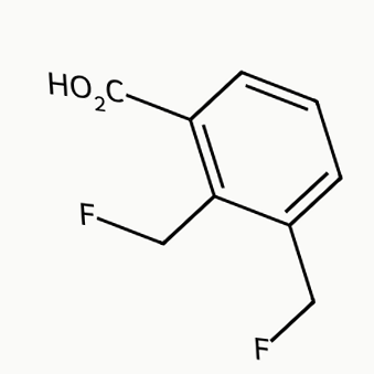 O=C(O)c1cccc(CF)c1CF